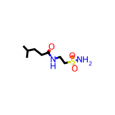 CC(C)CCC(=O)NCCS(N)(=O)=O